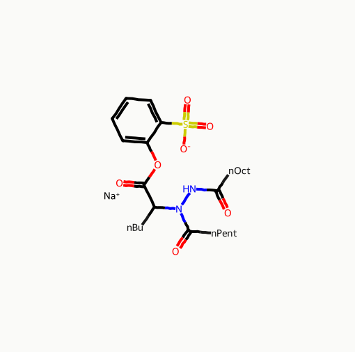 CCCCCCCCC(=O)NN(C(=O)CCCCC)C(CCCC)C(=O)Oc1ccccc1S(=O)(=O)[O-].[Na+]